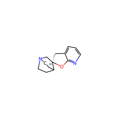 c1cnc2c(c1)C[C@]1(CN3CCC1CC3)O2